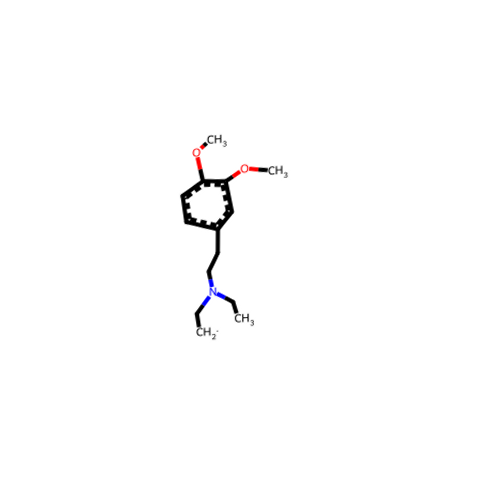 [CH2]CN(CC)CCc1ccc(OC)c(OC)c1